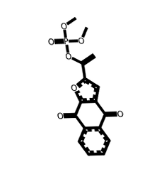 C=C(OP(=O)(OC)OC)c1cc2c(o1)C(=O)c1ccccc1C2=O